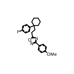 COc1ccc(-c2noc(CCC3(c4ccc(F)cc4)CCCCC3)n2)cc1